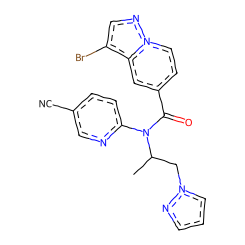 CC(Cn1cccn1)N(C(=O)c1ccn2ncc(Br)c2c1)c1ccc(C#N)cn1